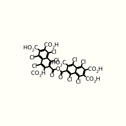 O=C(O)c1c(C(=O)O)c(Cl)c2c(Cl)c(C(=O)OC(=O)c3c(C(=O)O)c(Cl)c4c(Cl)c(C(=O)O)c(C(=O)O)c(Cl)c4c3Cl)c(C(=O)O)c(Cl)c2c1Cl